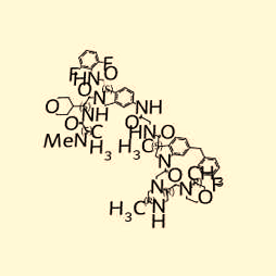 CN[C@@H](C)C(=O)N[C@H](C(=O)N1Cc2cc(NC(=O)CNC(=O)[C@]3(C)CN(C(=O)CN4C[C@@H](C)NC[C@@H]4CN4CCOC[C@H]4C)c4cc(Cc5ccc(F)cc5)ccc43)ccc2[C@H]1C(=O)Nc1c(F)cccc1F)C1CCOCC1